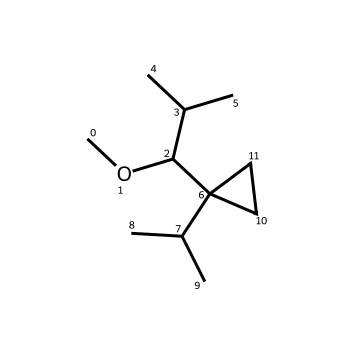 COC(C(C)C)C1(C(C)C)CC1